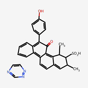 CC1C=c2ccc3c(c2C(C)C1S(=O)(=O)O)C(=O)C(c1ccc(O)cc1)=c1ccccc1=3.c1cnncn1